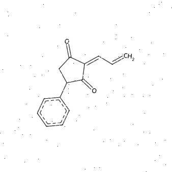 C=CC=C1C(=O)CC(c2ccccc2)C1=O